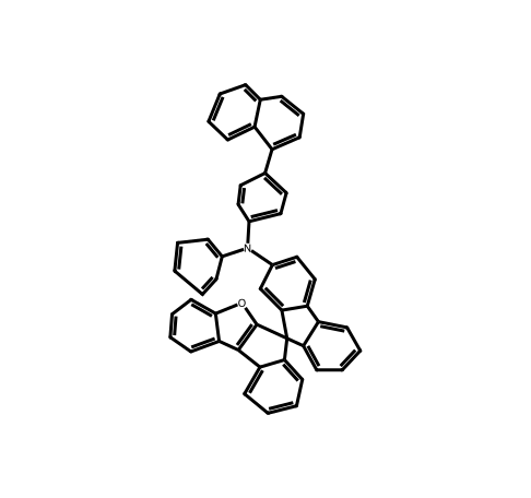 c1ccc(N(c2ccc(-c3cccc4ccccc34)cc2)c2ccc3c(c2)C2(c4ccccc4-3)c3ccccc3-c3c2oc2ccccc32)cc1